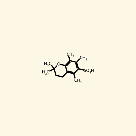 Cc1c(C)c(S(=O)(=O)O)c(C)c2c1OC(C)(C)CC2